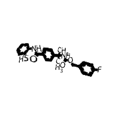 CC(C)(NC(=O)OCc1ccc(F)cc1)c1ccc(C(=O)Nc2ccccc2S)cc1